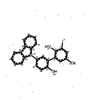 Cc1c(I)cc(C#N)cc1-c1cc(-n2c3ccccc3c3ccccc32)ccc1O